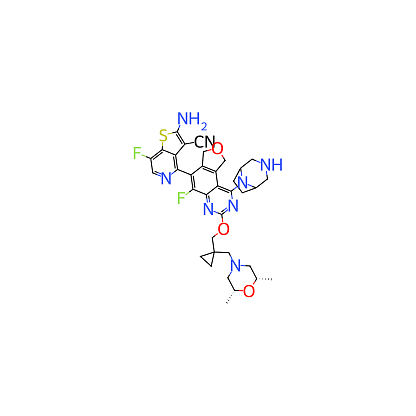 C[C@@H]1CN(CC2(COc3nc(N4C5CCC4CNC5)c4c5c(c(-c6ncc(F)c7sc(N)c(C#N)c67)c(F)c4n3)COC5)CC2)C[C@H](C)O1